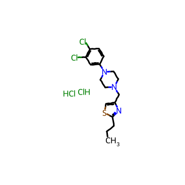 CCCc1nc(CN2CCN(c3ccc(Cl)c(Cl)c3)CC2)cs1.Cl.Cl